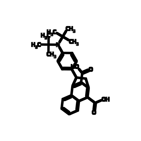 CC(C)(C)N(c1ccc(C2Cc3c(C(=O)O)c2c2ccccc2c3C(=O)O)cc1)C(C)(C)C